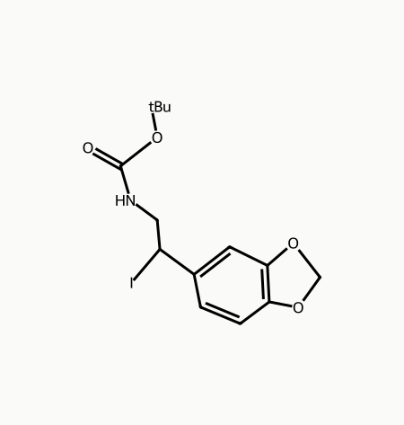 CC(C)(C)OC(=O)NCC(I)c1ccc2c(c1)OCO2